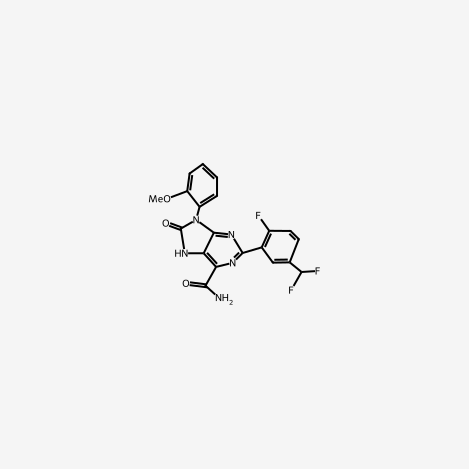 COc1ccccc1-n1c(=O)[nH]c2c(C(N)=O)nc(-c3cc(C(F)F)ccc3F)nc21